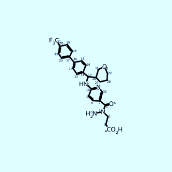 NN(CCC(=O)O)C(=O)c1ccc(NC(c2ccc(-c3ccc(C(F)(F)F)cc3)cc2)C2CCCOC2)nc1